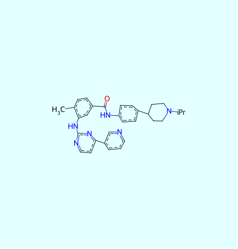 Cc1ccc(C(=O)Nc2ccc(C3CCN(C(C)C)CC3)cc2)cc1Nc1nccc(-c2cccnc2)n1